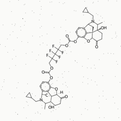 CC1N(CC2CC2)C2C[C@]34c5c2ccc(OC(=O)OCC(F)(F)C(F)(F)C(F)(F)COC(=O)Oc2ccc6c7c2O[C@H]2C(=O)CC[C@@]8(O)C(C)N(CC9CC9)C6C[C@]728)c5OC3C(=O)CC[C@@]14O